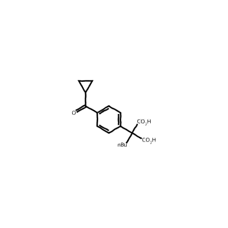 CCCCC(C(=O)O)(C(=O)O)c1ccc(C(=O)C2CC2)cc1